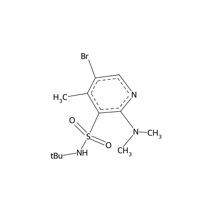 Cc1c(Br)cnc(N(C)C)c1S(=O)(=O)NC(C)(C)C